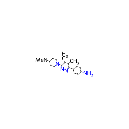 CNC1CCN(c2nnc(-c3ccc(N)cc3)c(C)c2C)CC1